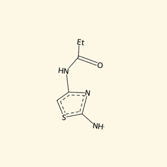 CCC(=O)Nc1csc([NH])n1